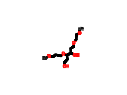 CCCOCCOCCC(O)C(CCO)OCCCOCC